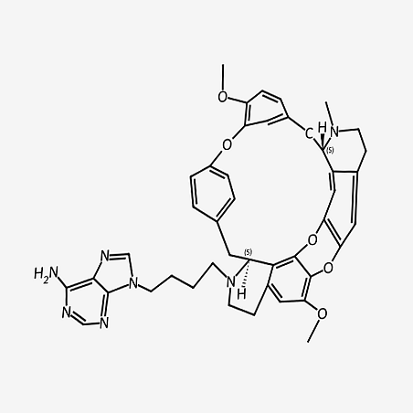 COc1ccc2cc1Oc1ccc(cc1)C[C@H]1c3c(cc(OC)c4c3Oc3cc5c(cc3O4)CCN(C)[C@H]5C2)CCN1CCCCn1cnc2c(N)ncnc21